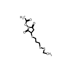 CCSSCCCSC1CC(=O)N(OC(C)=O)C1=O